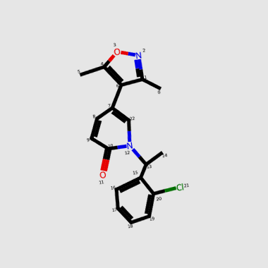 Cc1noc(C)c1-c1ccc(=O)n(C(C)c2ccccc2Cl)c1